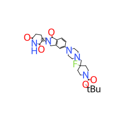 CC(C)(C)OC(=O)N1CCC(F)(CN2CCN(c3ccc4c(c3)CN([C@H]3CCC(=O)NC3=O)C4=O)CC2)CC1